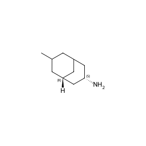 CC1CC2C[C@H](N)C[C@H](C1)C2